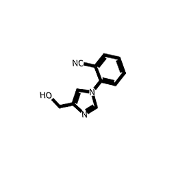 N#Cc1ccccc1-n1cnc(CO)c1